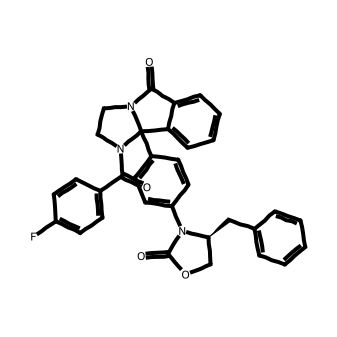 O=C1OC[C@H](Cc2ccccc2)N1c1ccc(C23c4ccccc4C(=O)N2CCN3C(=O)c2ccc(F)cc2)cc1